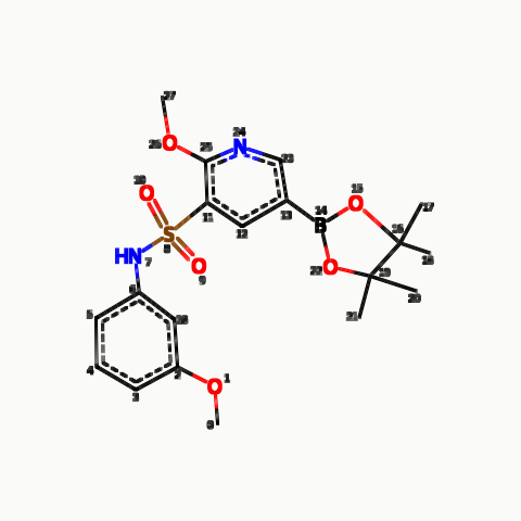 COc1cccc(NS(=O)(=O)c2cc(B3OC(C)(C)C(C)(C)O3)cnc2OC)c1